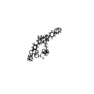 C[C@@H](Cn1cnnn1)Oc1cc(-c2cnc(Nc3cn(C4CCC(N5CCOCC5)CC4)nc3OCCCc3ncco3)nc2)ccc1Cl